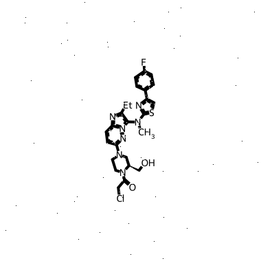 CCc1nc2ccc(N3CCN(C(=O)CCl)[C@H](CO)C3)nn2c1N(C)c1nc(-c2ccc(F)cc2)cs1